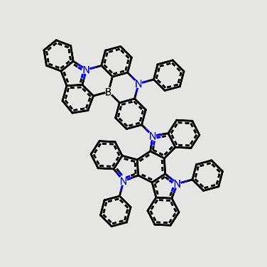 c1ccc(N2c3cc(-n4c5ccccc5c5c6c(c7ccccc7n6-c6ccccc6)c6c(c7ccccc7n6-c6ccccc6)c54)ccc3B3c4c2cccc4-n2c4ccccc4c4cccc3c42)cc1